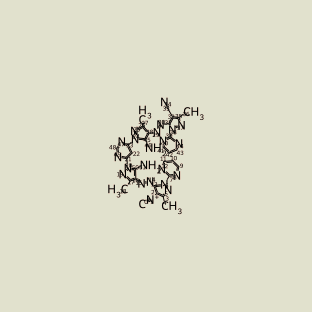 [C-]#[N+]c1c(C)nn(-c2ncccn2)c1N=Nc1c(C)nn(-c2cc(-n3nc(C)c(N=Nc4c(C#N)c(C)nn4-c4ncccn4)c3N)ncn2)c1N